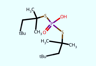 CC(C)(C)CC(C)(C)SP(=O)(O)SC(C)(C)CC(C)(C)C